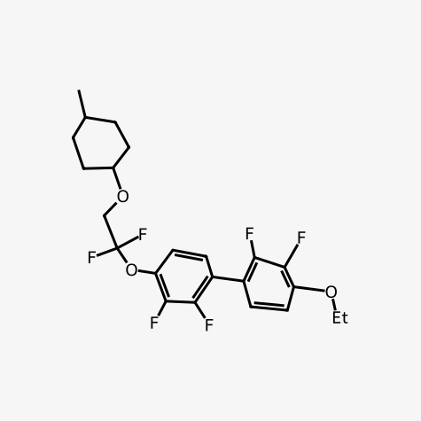 CCOc1ccc(-c2ccc(OC(F)(F)COC3CCC(C)CC3)c(F)c2F)c(F)c1F